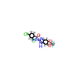 O=C(Nc1nc2cc3c(cc2[nH]1)OC(F)(F)O3)c1ccc(Cl)cc1Cl